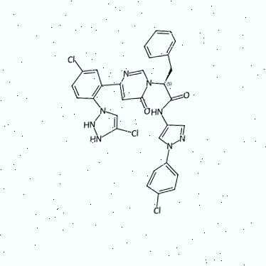 O=C(Nc1cnn(-c2ccc(Cl)cc2)c1)[C@H](Cc1ccccc1)n1cnc(-c2cc(Cl)ccc2N2C=C(Cl)NN2)cc1=O